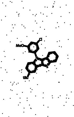 COc1cc(Cl)cc(-n2c3ccc(C(C)(C)C)cc3c3sc4ccccc4c32)c1